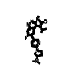 CC(C)n1c(=O)n(C)c2nnc3cc(F)c(-c4ccc(N5CC[C@@H](N(C)C)C5)nc4)cc3c21